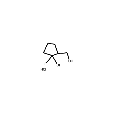 Cl.OCC1CCCC1(O)F